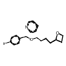 [Ir][c]1ccc(COCCCCC2CCO2)cc1.c1ccncc1